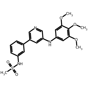 COc1cc(Nc2cncc(-c3cccc(NS(C)(=O)=O)c3)c2)cc(OC)c1OC